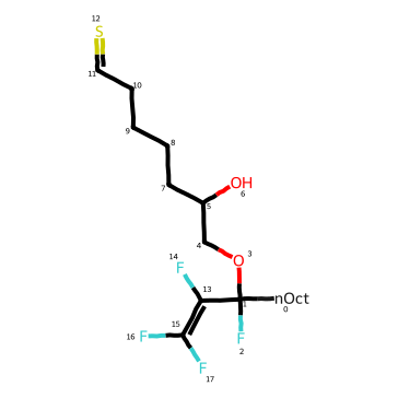 CCCCCCCCC(F)(OCC(O)CCCCC=S)C(F)=C(F)F